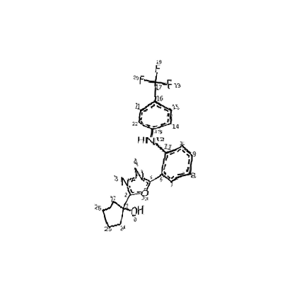 OC1(c2nnc(-c3ccccc3Nc3ccc(C(F)(F)F)cc3)o2)CCCC1